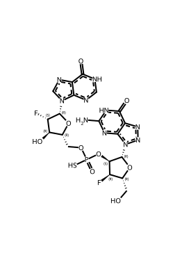 Nc1nc2c(nnn2[C@@H]2O[C@H](CO)[C@@H](F)[C@H]2OP(=O)(S)OC[C@H]2O[C@@H](n3cnc4c(=O)[nH]cnc43)[C@@H](F)[C@@H]2O)c(=O)[nH]1